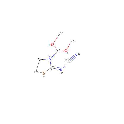 COC(OC)N1CCS/C1=N/C#N